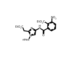 CCCCCCn1cc(NC(=O)c2cccc([N+](=O)[O-])c2C(=O)OCC)nc1CC(=O)OCC